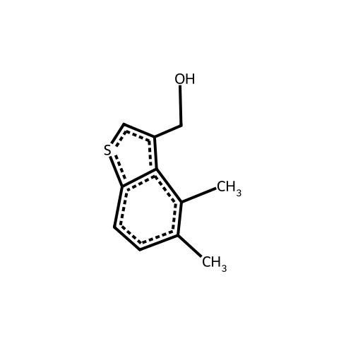 Cc1ccc2scc(CO)c2c1C